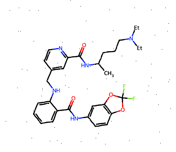 CCN(CC)CCCC(C)NC(=O)c1cc(CNc2ccccc2C(=O)Nc2ccc3c(c2)OC(F)(F)O3)ccn1